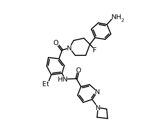 CCc1ccc(C(=O)N2CCC(F)(c3ccc(N)cc3)CC2)cc1NC(=O)c1ccc(N2CCC2)nc1